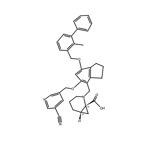 Cc1c(COc2cc(OCc3cncc(C#N)c3)c(CN3CCC[C@H]4C[C@]43C(=O)O)c3c2CCC3)cccc1-c1ccccc1